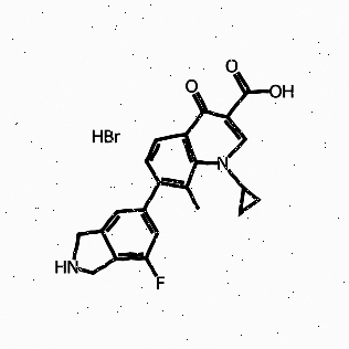 Br.Cc1c(-c2cc(F)c3c(c2)CNC3)ccc2c(=O)c(C(=O)O)cn(C3CC3)c12